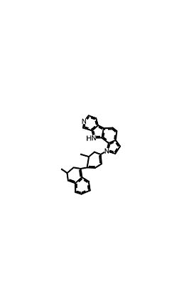 CC1C=c2ccccc2=C(C2=CC=C(n3ccc4ccc5c6ccncc6[nH]c5c43)CC2C)C1